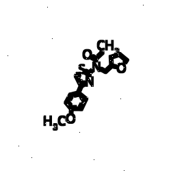 CCC(=O)N(CC1CCCO1)c1nc(-c2ccc(OC)cc2)cs1